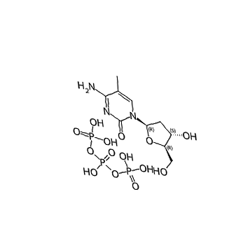 Cc1cn([C@H]2C[C@H](O)[C@@H](CO)O2)c(=O)nc1N.O=P(O)(O)OP(=O)(O)OP(=O)(O)O